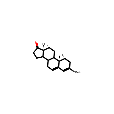 CNC1=CC2=CCC3C(CC[C@]4(C)C(=O)CCC34)[C@@]2(C)CC1